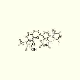 Cc1cc(-c2ccc(C3CCc4ccc([C@H](C5CC5)[C@H](C)C(=O)O)cc4O3)cc2CN(C)C2CC2)c(F)cn1